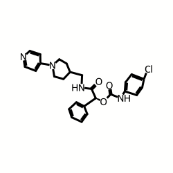 O=C(Nc1ccc(Cl)cc1)O[C@H](C(=O)NCC1CCN(c2ccncc2)CC1)c1ccccc1